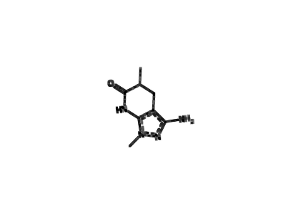 CC1Cc2c(N)nn(C)c2NC1=O